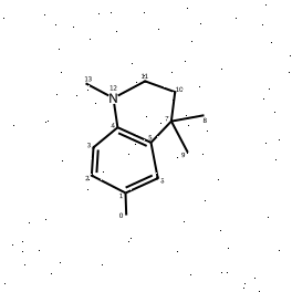 Cc1ccc2c(c1)C(C)(C)CCN2C